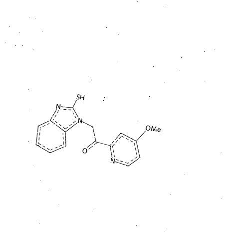 COc1ccnc(C(=O)Cn2c(S)nc3ccccc32)c1